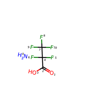 N.O=C(O)C(F)(F)C(F)(F)F